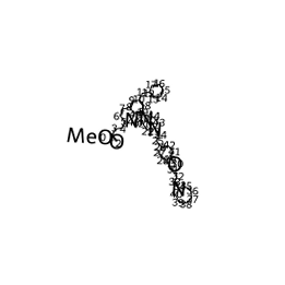 COC(=O)CCc1ccc2cc(Cc3ccccc3)cc(N3CCN(CCc4ccc(OCCCN5CCCCCC5)cc4)CC3)c2n1